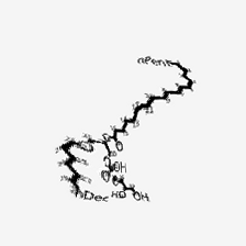 CCCCC/C=C\C/C=C\CCCCCCCCCCCC(=O)O[C@H](CO/C=C\CCCCCCCCCCCCCC)COP(=O)(O)OC[C@@H](O)CO